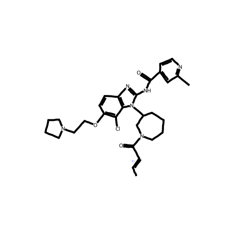 C/C=C/C(=O)N1CCCCC(n2c(NC(=O)c3ccnc(C)c3)nc3ccc(OCCN4CCCC4)c(Cl)c32)C1